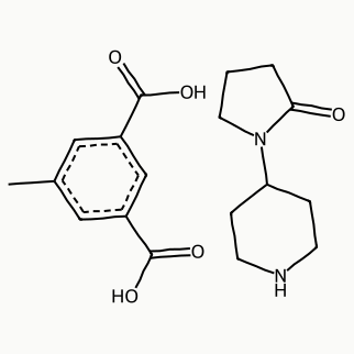 Cc1cc(C(=O)O)cc(C(=O)O)c1.O=C1CCCN1C1CCNCC1